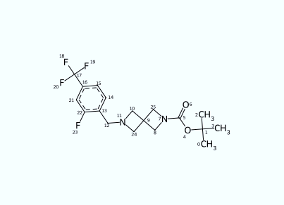 CC(C)(C)OC(=O)N1CC2(CN(Cc3ccc(C(F)(F)F)cc3F)C2)C1